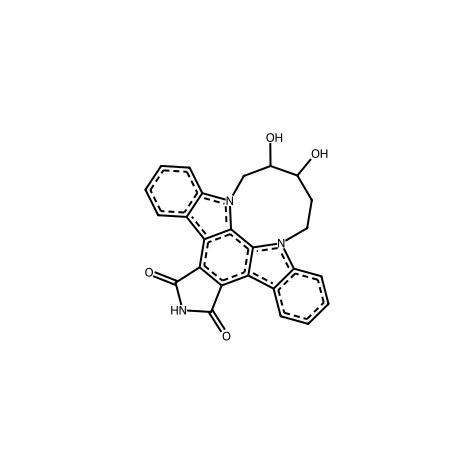 O=C1NC(=O)c2c1c1c3ccccc3n3c1c1c2c2ccccc2n1CC(O)C(O)CC3